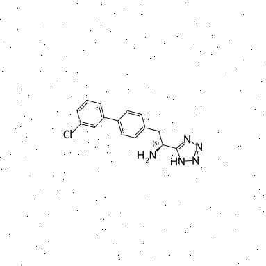 N[C@@H](Cc1ccc(-c2cccc(Cl)c2)cc1)c1nnn[nH]1